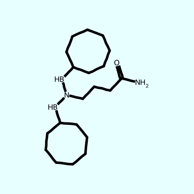 NC(=O)CCCN(BC1CCCCCCC1)BC1CCCCCCC1